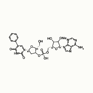 COC1C(O)[C@@H](COP(=O)(O)OC2C[C@H](n3cc(-c4ccccc4)c(=O)[nH]c3=O)O[C@@H]2CO)O[C@H]1n1cnc2c(N)ncnc21